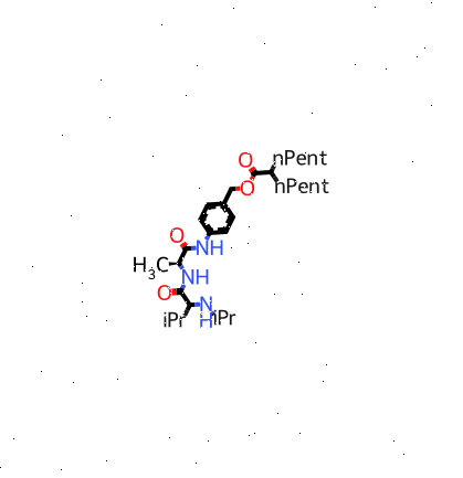 CCCCCC(CCCCC)C(=O)OCc1ccc(NC(=O)[C@H](C)NC(=O)C(NC(C)C)C(C)C)cc1